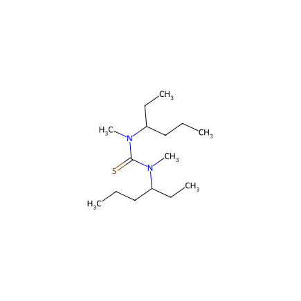 CCCC(CC)N(C)C(=S)N(C)C(CC)CCC